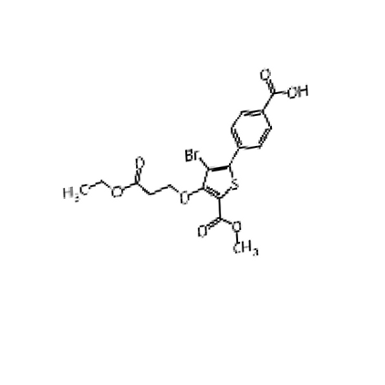 CCOC(=O)CCOc1c(C(=O)OC)sc(-c2ccc(C(=O)O)cc2)c1Br